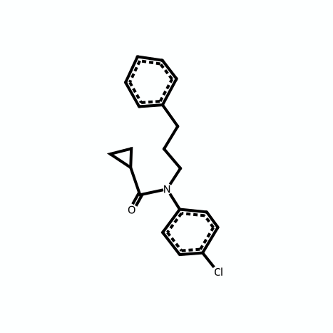 O=C(C1CC1)N(CCCc1ccccc1)c1ccc(Cl)cc1